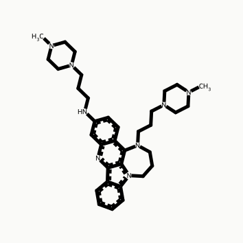 CN1CCN(CCCNc2ccc3c4c5c(nc3c2)c2ccccc2n5CCCN4CCCN2CCN(C)CC2)CC1